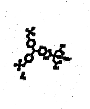 O=C(O)CC(O)(CC(=O)O)C(=O)O.O=S(=O)([O-])Oc1ccc(C(c2ccc(OS(=O)(=O)[O-])cc2)c2ccccn2)cc1.[Na+].[Na+].[O]=[Mg]